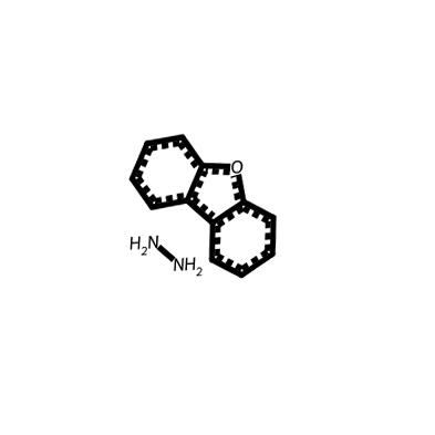 NN.c1ccc2c(c1)oc1ccccc12